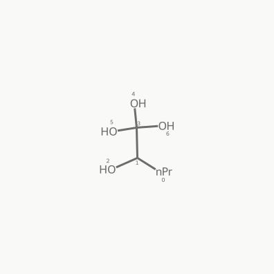 CCCC(O)C(O)(O)O